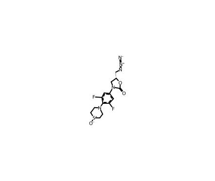 [N-]=[N+]=NC[C@H]1CN(c2cc(F)c(N3CC[S+]([O-])CC3)c(F)c2)C(=O)O1